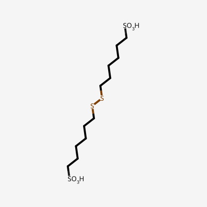 O=S(=O)(O)CCCCCCSSCCCCCCS(=O)(=O)O